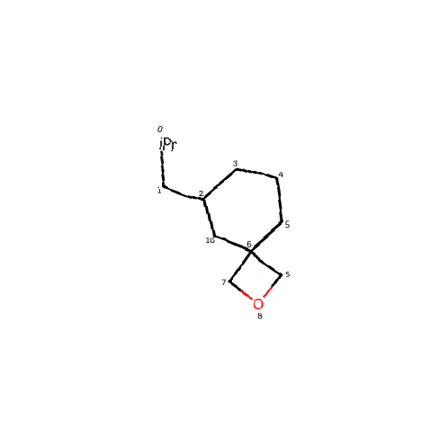 CC(C)CC1CCCC2(COC2)C1